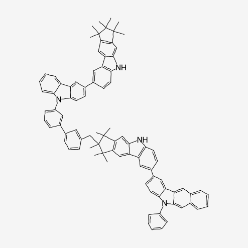 CC1(C)c2cc3[nH]c4ccc(-c5ccc6c(c5)c5ccccc5n6-c5cccc(-c6cccc(CC7(C)C(C)(C)c8cc9[nH]c%10ccc(-c%11ccc%12c(c%11)c%11cc%13ccccc%13cc%11n%12-c%11ccccc%11)cc%10c9cc8C7(C)C)c6)c5)cc4c3cc2C(C)(C)C1(C)C